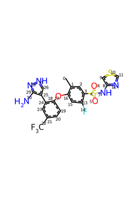 Cc1cc(S(=O)(=O)Nc2cscn2)c(F)cc1Oc1ccc(C(F)(F)F)cc1-c1c[nH]nc1N